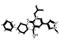 CC(C)Cn1cc(-c2cnn(C)c2)cc(C(O)[C@H]2CC[C@@H](c3ccccc3)CC2)c1=O